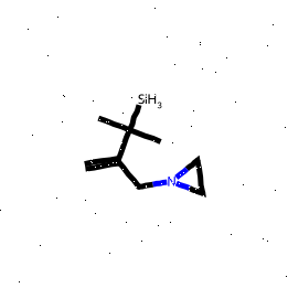 C=C(CN1CC1)C(C)(C)[SiH3]